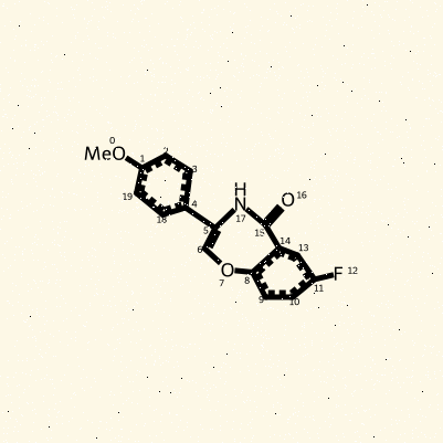 COc1ccc(C2=COc3ccc(F)cc3C(=O)N2)cc1